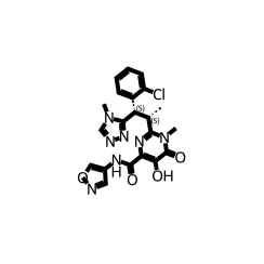 C[C@H](c1nc(C(=O)Nc2cnoc2)c(O)c(=O)n1C)[C@@H](c1ccccc1Cl)c1nncn1C